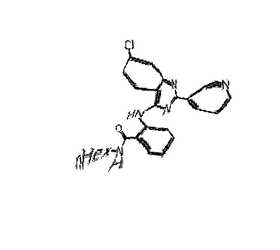 CCCCCCNC(=O)c1ccccc1Nc1nc(-c2cccnc2)nc2cc(Cl)ccc12